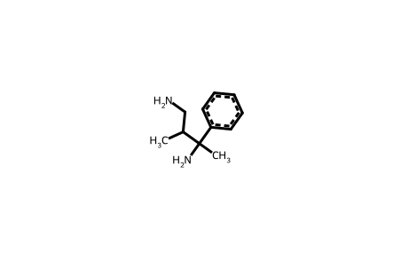 CC(CN)C(C)(N)c1ccccc1